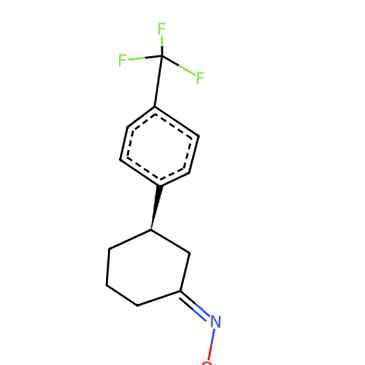 CON=C1CCC[C@@H](c2ccc(C(F)(F)F)cc2)C1